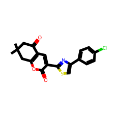 CC1(C)CC(=O)c2cc(-c3nc(-c4ccc(Cl)cc4)cs3)c(=O)oc2C1